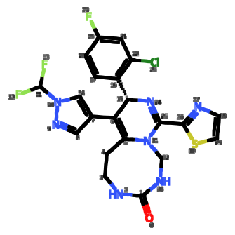 O=C1NCCC2=C(c3cnn(C(F)F)c3)[C@H](c3ccc(F)cc3Cl)N=C(c3nccs3)N2CN1